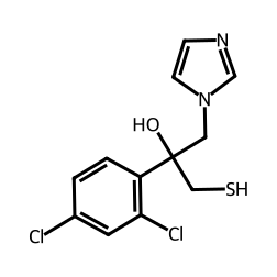 OC(CS)(Cn1ccnc1)c1ccc(Cl)cc1Cl